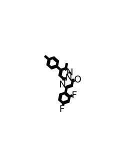 Cc1ccc(-c2cc3nc(-c4ccc(F)cc4F)cc(=O)n3nc2C)cc1